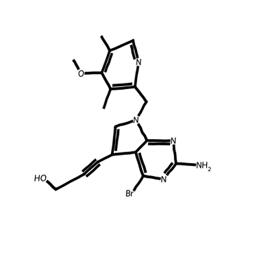 COc1c(C)cnc(Cn2cc(C#CCO)c3c(Br)nc(N)nc32)c1C